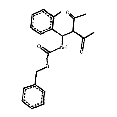 CC(=O)C(C(C)=O)C(NC(=O)OCc1ccccc1)c1ccccc1C